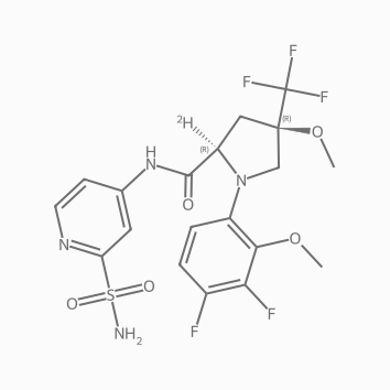 [2H][C@]1(C(=O)Nc2ccnc(S(N)(=O)=O)c2)C[C@](OC)(C(F)(F)F)CN1c1ccc(F)c(F)c1OC